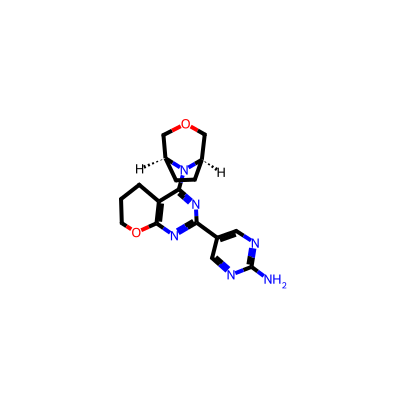 Nc1ncc(-c2nc3c(c(N4[C@@H]5CC[C@H]4COC5)n2)CCCO3)cn1